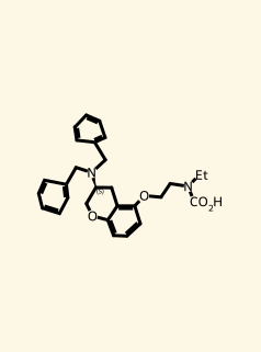 CCN(CCOc1cccc2c1C[C@H](N(Cc1ccccc1)Cc1ccccc1)CO2)C(=O)O